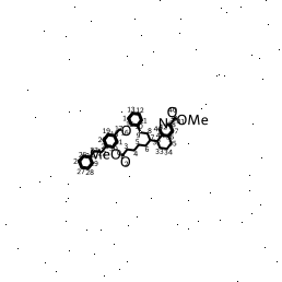 COC(=O)CCCCC(CCc1ccccc1OCc1ccc(CCc2ccccc2)cc1)C1CCCc2cc(C(=O)OC)ncc21